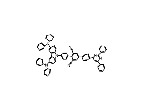 N#Cc1cc(-c2ccc(-c3cc(-c4ccccc4)nc(-c4ccccc4)n3)cc2)cc(C#N)c1-c1ccc(-n2c3ccc(N(c4ccccc4)c4ccccc4)cc3c3cc(N(c4ccccc4)c4ccccc4)ccc32)cc1